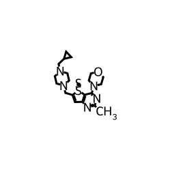 Cc1nc2c(c(N3CCOCC3)n1)S(=S)C(CN1CCN(CC3CC3)CC1)=C2